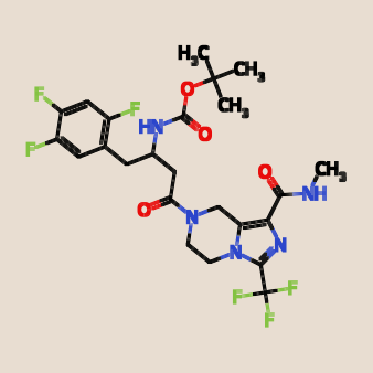 CNC(=O)c1nc(C(F)(F)F)n2c1CN(C(=O)CC(Cc1cc(F)c(F)cc1F)NC(=O)OC(C)(C)C)CC2